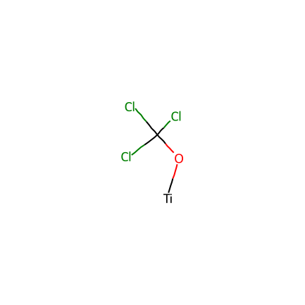 ClC(Cl)(Cl)[O][Ti]